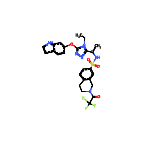 CCn1c(Oc2ccc3cc[nH]c3c2)nnc1[C@@H](C)NS(=O)(=O)c1ccc2c(c1)CN(C(=O)C(F)(F)F)CC2